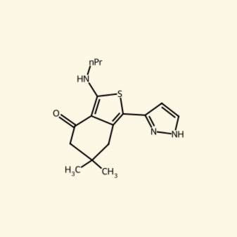 CCCNc1sc(-c2cc[nH]n2)c2c1C(=O)CC(C)(C)C2